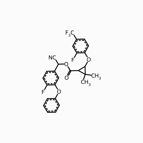 CC1(C)C(Oc2ccc(C(F)(F)F)cc2F)C1C(=O)OC(C#N)c1ccc(F)c(Oc2ccccc2)c1